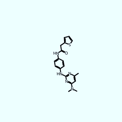 Cc1cc(N(C)C)nc(Nc2ccc(NC(=O)Cc3cccs3)cc2)n1